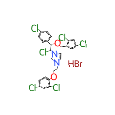 Br.Clc1ccc(C(OCc2ccc(Cl)cc2Cl)C(Cl)N2C=CN(CCOc3ccc(Cl)cc3Cl)C2)cc1